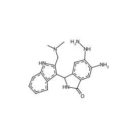 CN(C)Cc1[nH]c2ccccc2c1C1NC(=O)c2cc(N)c(NN)cc21